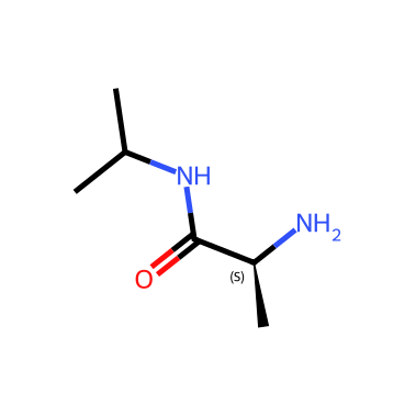 CC(C)NC(=O)[C@H](C)N